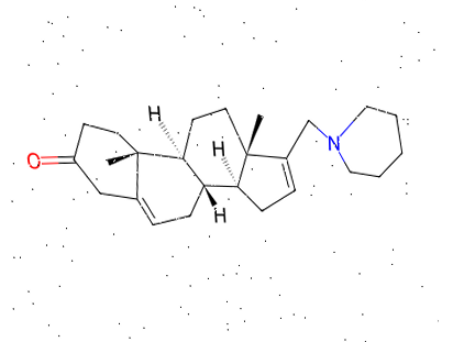 C[C@]12CCC(=O)CC1=CC[C@@H]1[C@@H]2CC[C@]2(C)C(CN3CCCCC3)=CC[C@@H]12